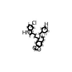 Clc1ccc2[nH]cc(CCC3c4cc5c(cc4CCN3CC3CCNCC3)OCO5)c2c1